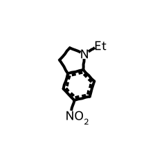 CCN1CCc2cc([N+](=O)[O-])ccc21